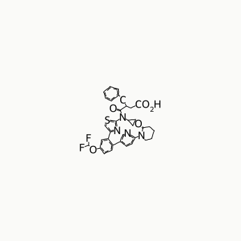 O=C(O)CC(Cc1ccccc1)C(=O)N(c1nc(-c2cc(OC(F)F)ccc2-c2ccc(N3CCCCC3=O)nc2)cs1)C1CC1